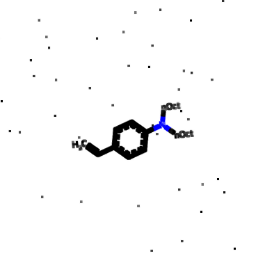 C=Cc1ccc(N(CCCCCCCC)CCCCCCCC)cc1